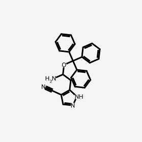 N#Cc1cn[nH]c1CC(N)OC(c1ccccc1)(c1ccccc1)c1ccccc1